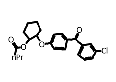 CCCC(=O)OC1CCCCC1Oc1ccc(C(=O)c2cccc(Cl)c2)cc1